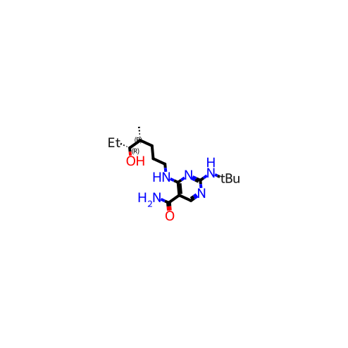 CC[C@@H](O)[C@H](C)CCCNc1nc(NC(C)(C)C)ncc1C(N)=O